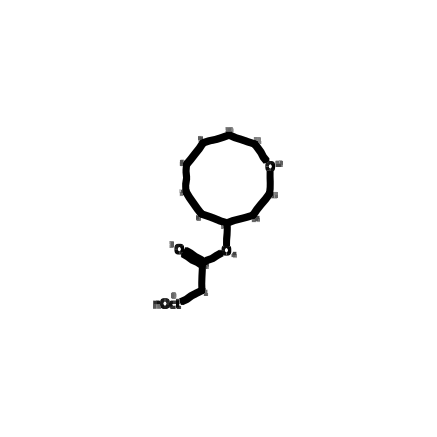 [CH2]CCCCCCCCC(=O)OC1CCCC[CH]COCC1